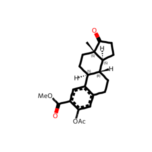 COC(=O)c1cc2c(cc1OC(C)=O)CC[C@@H]1[C@@H]2CC[C@]2(C)C(=O)CC[C@@H]12